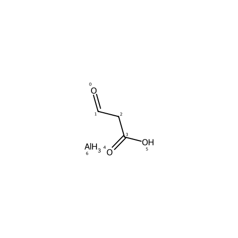 O=CCC(=O)O.[AlH3]